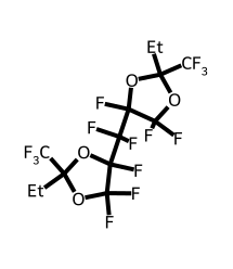 CCC1(C(F)(F)F)OC(F)(F)C(F)(C(F)(F)C2(F)OC(CC)(C(F)(F)F)OC2(F)F)O1